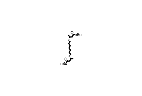 CCCCC(=O)CC(C)SCCCCCCCSC(C)CC(=O)CCCC